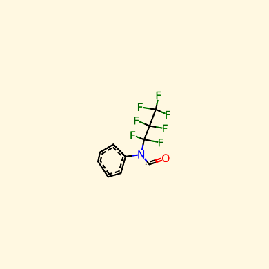 O=[C]N(c1ccccc1)C(F)(F)C(F)(F)C(F)(F)F